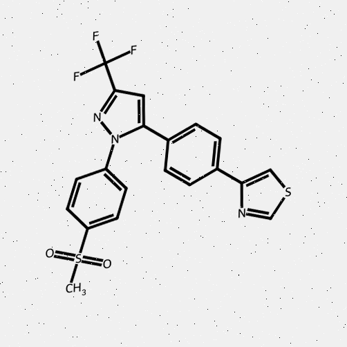 CS(=O)(=O)c1ccc(-n2nc(C(F)(F)F)cc2-c2ccc(-c3cscn3)cc2)cc1